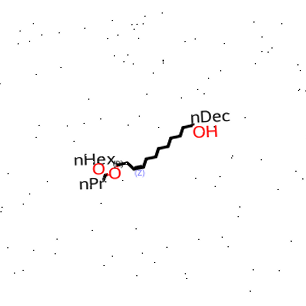 CCCCCCCCCCC(O)CCCCCCC/C=C\C[C@@H](CCCCCC)OC(=O)CCC